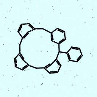 c1ccc(C2c3cccc(c3)Cc3cccc(c3)Cc3cccc(c3)Cc3cccc2c3)cc1